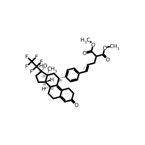 COC(=O)C(C/C=C/c1ccc([C@H]2C[C@@]3(C)[C@@H](CC[C@@]3(O)C(F)(F)C(F)(F)F)[C@@H]3CCC4=CC(=O)CCC4=C32)cc1)C(=O)OC